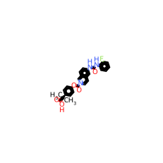 CC(C)(C(=O)O)[C@H]1CC[C@H](OC(=O)N2CCc3cc(NC(=O)Nc4ccccc4F)ccc3C2)CC1